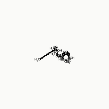 CCCCCCCCCCCCCCCC(=O)N(C)[C@H](CO)C(O)NCC(C)C(=O)NCC(=O)N[C@H]1c2ccc(O)c(c2)-c2cc(ccc2O)C[C@@H](C(=O)O)NC(=O)[C@H](C)NC1O